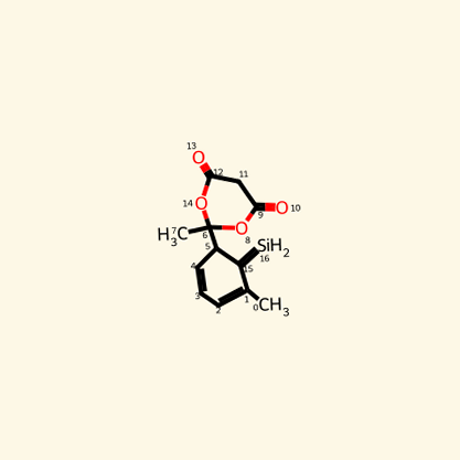 CC1=CC=CC(C2(C)OC(=O)CC(=O)O2)C1=[SiH2]